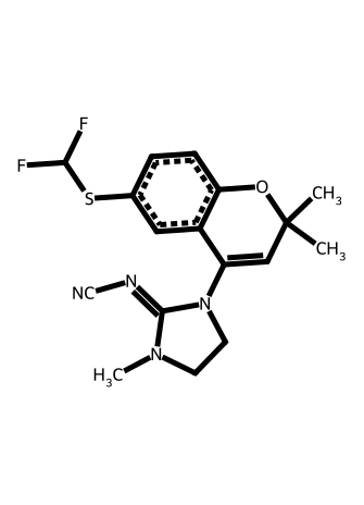 CN1CCN(C2=CC(C)(C)Oc3ccc(SC(F)F)cc32)/C1=N/C#N